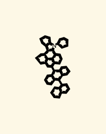 c1ccc(-n2c3ccccc3c3c4cccc5cc(-c6c7ccccc7c(-c7cccc8ccccc78)c7ccccc67)c6cccc(c6c54)c32)cc1